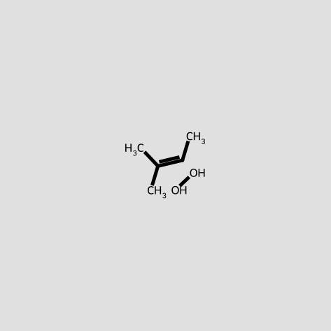 CC=C(C)C.OO